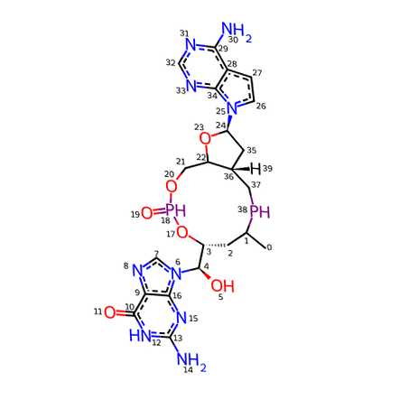 CC1C[C@H]([C@@H](O)n2cnc3c(=O)[nH]c(N)nc32)O[PH](=O)OCC2O[C@@H](n3ccc4c(N)ncnc43)C[C@@H]2CP1